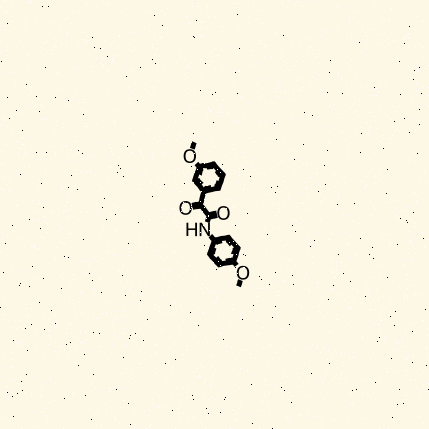 COc1ccc(NC(=O)C(=O)c2cccc(OC)c2)cc1